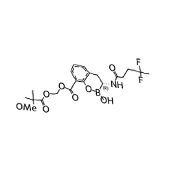 COC(C)(C)C(=O)OCOC(=O)c1cccc2c1OB(O)[C@@H](NC(=O)CCC(C)(F)F)C2